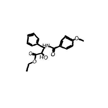 CCOC(=O)C(O)C(NC(=O)c1ccc(OC)cc1)c1ccccc1